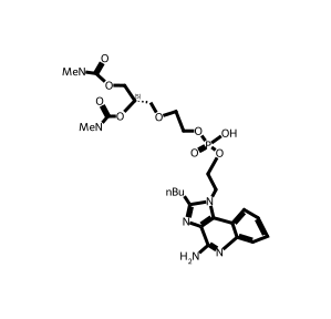 CCCCc1nc2c(N)nc3ccccc3c2n1CCOP(=O)(O)OCCOC[C@@H](COC(=O)NC)OC(=O)NC